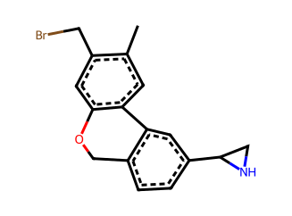 Cc1cc2c(cc1CBr)OCc1ccc(C3CN3)cc1-2